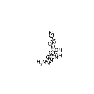 CC(C)(OC(=O)OC[C@H]1O[C@@](C#N)(c2ccc3c(N)ncnn23)[C@H](O)[C@@H]1O)c1ccncc1